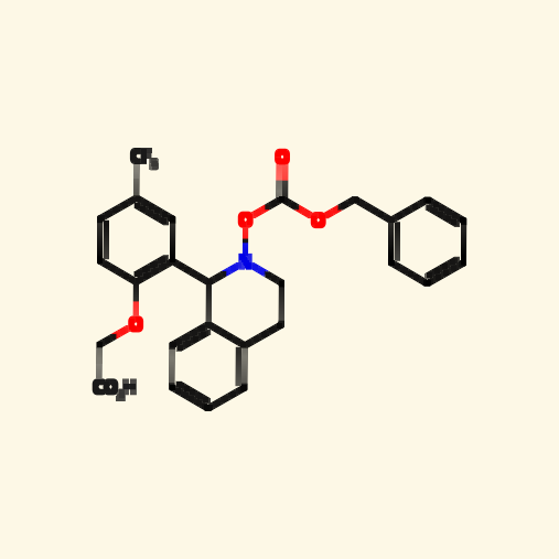 O=C(O)COc1ccc(C(F)(F)F)cc1C1c2ccccc2CCN1OC(=O)OCc1ccccc1